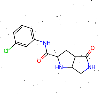 O=C(Nc1cccc(Cl)c1)C1CC2C(=O)NCC2N1